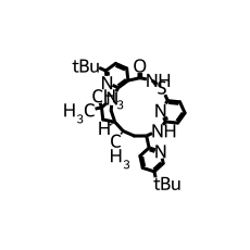 C[C@H]1CC(c2ccc(C(C)(C)C)cn2)Nc2cccc(n2)SNC(=O)c2ccc(C(C)(C)C)nc2N2C[C@@H]1CC2(C)C